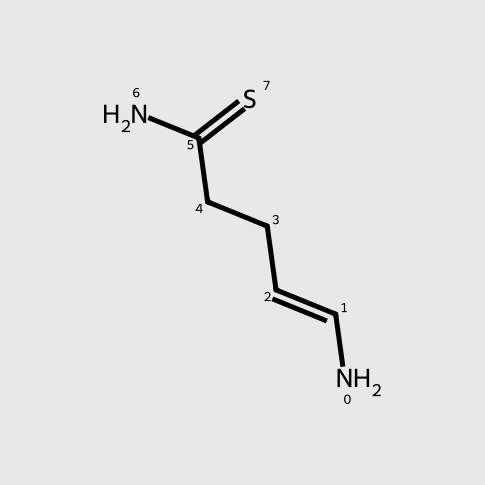 NC=CCCC(N)=S